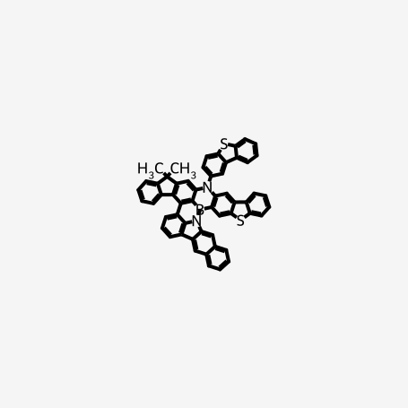 CC1(C)c2ccccc2-c2c1cc1c3c2-c2cccc4c5cc6ccccc6cc5n(c24)B3c2cc3sc4ccccc4c3cc2N1c1ccc2sc3ccccc3c2c1